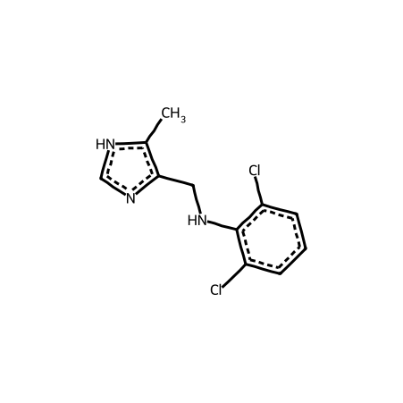 Cc1[nH]cnc1CNc1c(Cl)cccc1Cl